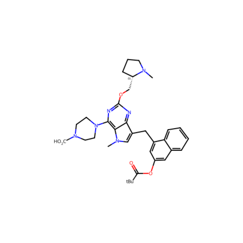 CN1CCC[C@H]1COc1nc(N2CCN(C(=O)O)CC2)c2c(n1)c(Cc1cc(OC(=O)C(C)(C)C)cc3ccccc13)cn2C